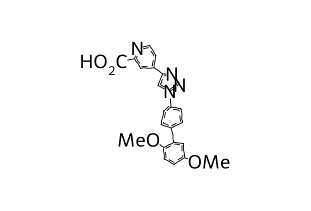 COc1ccc(OC)c(-c2ccc(-n3cc(-c4ccnc(C(=O)O)c4)nn3)cc2)c1